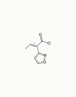 C/C=C(/C(=O)Cl)c1ccon1